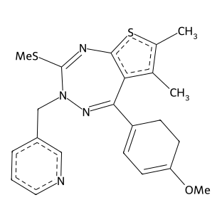 COC1=CC=C(C2=NN(Cc3cccnc3)C(SC)=Nc3sc(C)c(C)c32)CC1